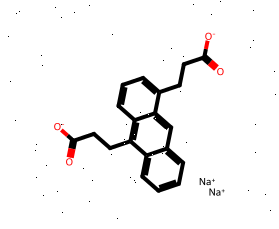 O=C([O-])CCc1cccc2c(CCC(=O)[O-])c3ccccc3cc12.[Na+].[Na+]